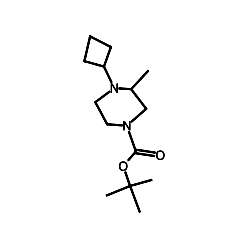 CC1CN(C(=O)OC(C)(C)C)CCN1C1CCC1